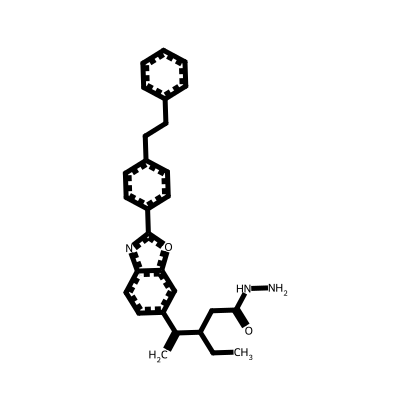 C=C(c1ccc2nc(-c3ccc(CCc4ccccc4)cc3)oc2c1)C(CC)CC(=O)NN